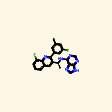 Cc1cc(F)cc(-c2nc3c(F)cccc3cc2[C@H](C)Nc2ncnc3[nH]cnc23)c1